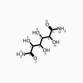 NC(=O)C(O)C(O)[C@@H](O)C(O)C(N)=O